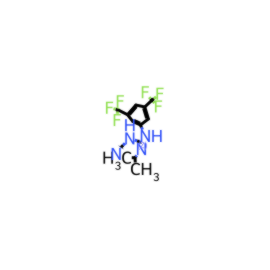 CC(C)/N=C(\NC#N)Nc1cc(C(F)(F)F)cc(C(F)(F)F)c1